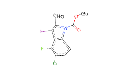 CC(C)(C)OC(=O)n1c(C=O)c(I)c2c(F)c(Cl)ccc21